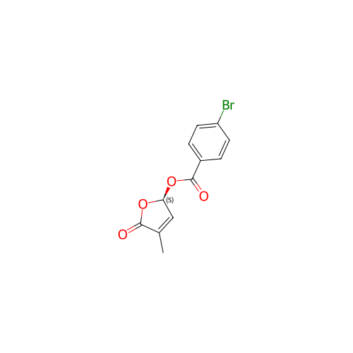 CC1=C[C@H](OC(=O)c2ccc(Br)cc2)OC1=O